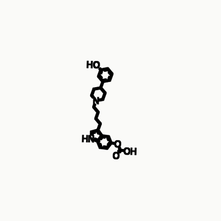 O=C(O)Oc1ccc2[nH]cc(CCCCN3CCC(c4cccc(O)c4)CC3)c2c1